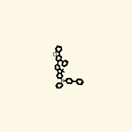 CC1(C)c2cc(-c3cc4oc5ccccc5c4cc3-c3ccccc3)ccc2-c2ccc(N(c3ccccc3)c3ccc(-c4ccccc4)cc3)cc21